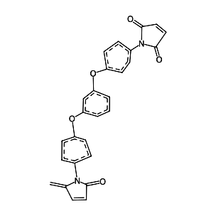 C=C1C=CC(=O)N1c1ccc(Oc2cccc(Oc3ccc(N4C(=O)C=CC4=O)cc3)c2)cc1